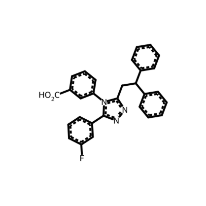 O=C(O)c1cccc(-n2c(CC(c3ccccc3)c3ccccc3)nnc2-c2cccc(F)c2)c1